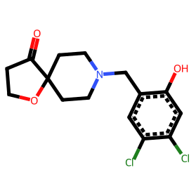 O=C1CCOC12CCN(Cc1cc(Cl)c(Cl)cc1O)CC2